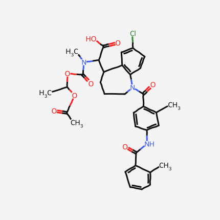 CC(=O)OC(C)OC(=O)N(C)C(C(=O)O)C1CCCN(C(=O)c2ccc(NC(=O)c3ccccc3C)cc2C)c2ccc(Cl)cc21